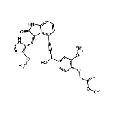 COC(=O)COc1ccc(C(O)C#Cc2cccc3c2/C(=C/c2[nH]ccc2OC)C(=O)N3)cc1OC